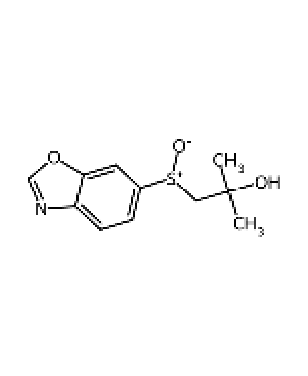 CC(C)(O)C[S+]([O-])c1ccc2ncoc2c1